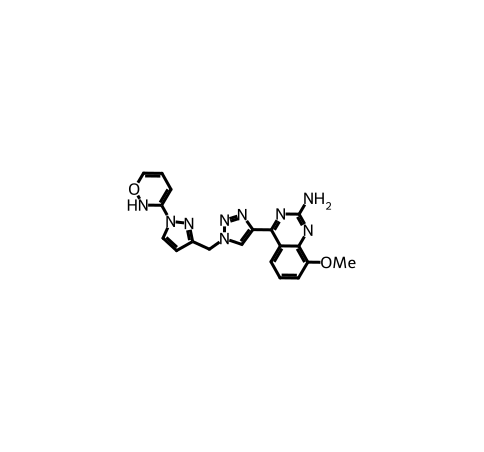 COc1cccc2c(-c3cn(Cc4ccn(C5=CC=CON5)n4)nn3)nc(N)nc12